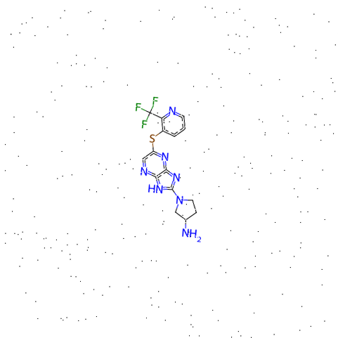 NC1CCN(c2nc3nc(Sc4cccnc4C(F)(F)F)cnc3[nH]2)C1